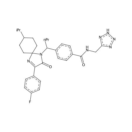 CCCC(c1ccc(C(=O)NCc2nn[nH]n2)cc1)N1C(=O)C(c2ccc(F)cc2)=NC12CCC(C(C)C)CC2